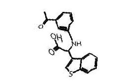 CC(=O)c1cccc(NC(C(=O)O)c2csc3ccccc23)c1